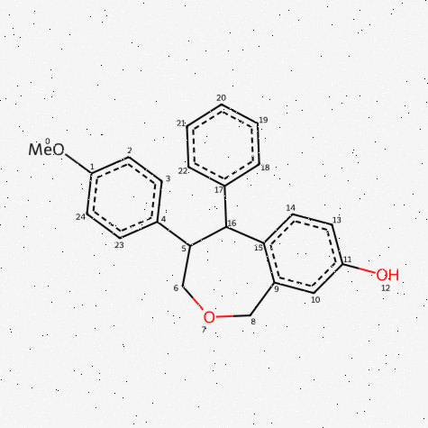 COc1ccc(C2COCc3cc(O)ccc3C2c2ccccc2)cc1